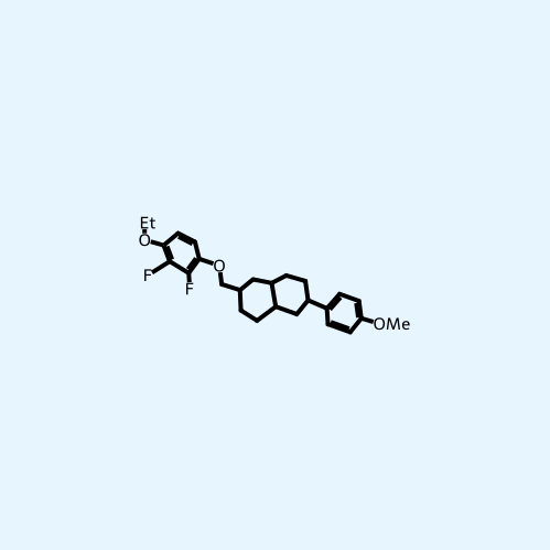 CCOc1ccc(OCC2CCC3CC(c4ccc(OC)cc4)CCC3C2)c(F)c1F